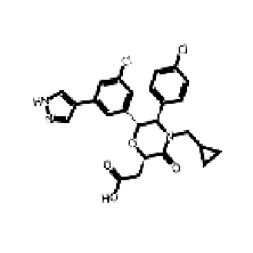 O=C(O)C[C@H]1O[C@H](c2cc(Cl)cc(-c3cn[nH]c3)c2)[C@@H](c2ccc(Cl)cc2)N(CC2CC2)C1=O